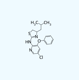 CC(C)CC1CSC(Nc2ncc(Cl)cc2Oc2ccccc2)=N1